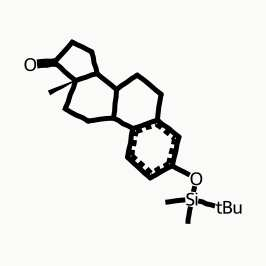 CC(C)(C)[Si](C)(C)Oc1ccc2c(c1)CCC1C2CC[C@]2(C)C(=O)CCC12